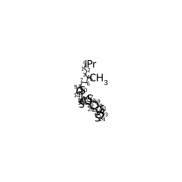 CC(C)CCCC(C)CCc1ccc(-c2csc3c2sc2cc4sc5ccsc5c4cc23)s1